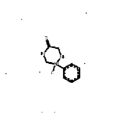 O=C1CN[N+]([O-])(c2ccccc2)CN1